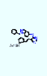 CC(=O)Nc1cccc(C=Cc2cncnc2Nc2ccc3c(cnn3Cc3ccccc3)c2)c1